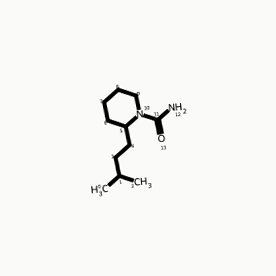 CC(C)CCC1CCCCN1C(N)=O